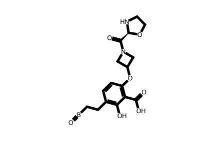 O=BCCc1ccc(OC2CN(C(=O)[C@H]3NCCO3)C2)c(C(=O)O)c1O